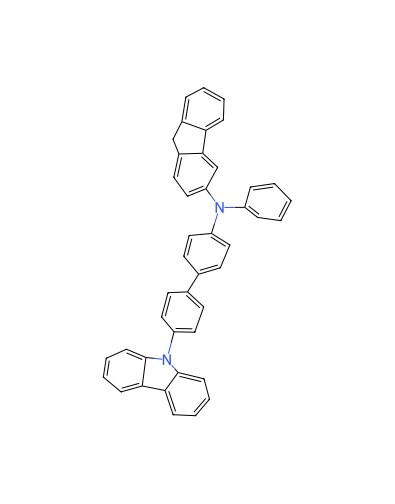 c1ccc(N(c2ccc(-c3ccc(-n4c5ccccc5c5ccccc54)cc3)cc2)c2ccc3c(c2)-c2ccccc2C3)cc1